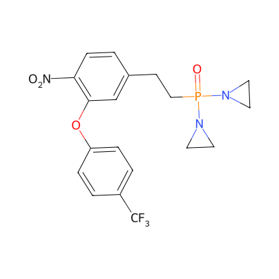 O=[N+]([O-])c1ccc(CCP(=O)(N2CC2)N2CC2)cc1Oc1ccc(C(F)(F)F)cc1